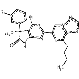 CCCCc1nc(-c2nc(O)c3c(n2)NC(=O)C3(C)c2cccc(F)c2)cn2ncnc12